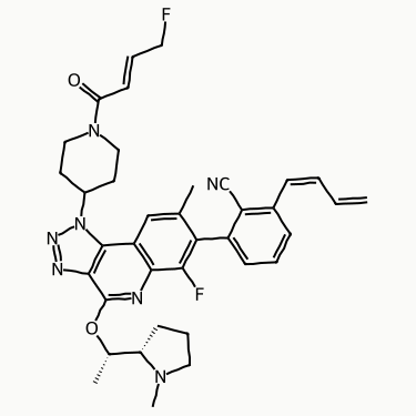 C=C/C=C\c1cccc(-c2c(C)cc3c(nc(O[C@@H](C)[C@@H]4CCCN4C)c4nnn(C5CCN(C(=O)/C=C/CF)CC5)c43)c2F)c1C#N